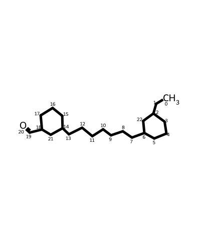 CCC1CCCC(CCCCCCCC2CCCC(C=O)C2)C1